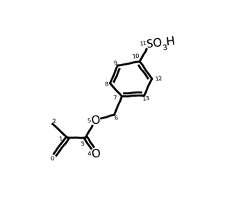 C=C(C)C(=O)OCc1ccc(S(=O)(=O)O)cc1